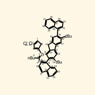 CCCC[C](CCCC)=[Zr+2]([C]1=CC=CC1)[c]1c2c(cc(C(C)(C)C)c1-c1cccc3ccccc13)-c1cc(C(C)(C)C)c(-c3cccc4ccccc34)cc1C2.[Cl-].[Cl-]